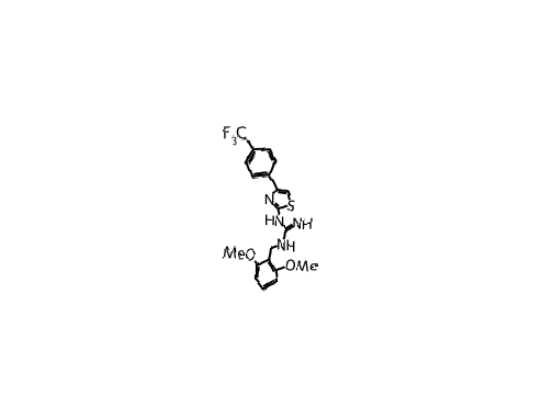 COc1cccc(OC)c1CNC(=N)Nc1nc(-c2ccc(C(F)(F)F)cc2)cs1